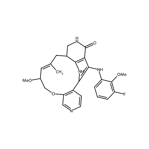 COc1c(F)cccc1Nc1c2[nH]c3c1C(=O)NCC3C/C(C)=C/C(OC)COc1cnccc1-2